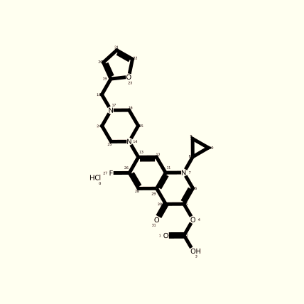 Cl.O=C(O)Oc1cn(C2CC2)c2cc(N3CCN(Cc4ccco4)CC3)c(F)cc2c1=O